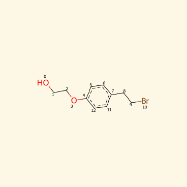 OCCOc1ccc(CCBr)cc1